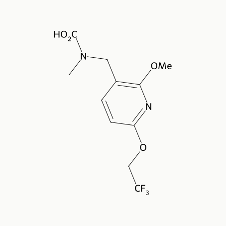 COc1nc(OCC(F)(F)F)ccc1CN(C)C(=O)O